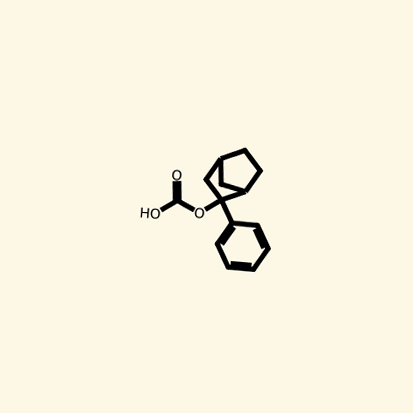 O=C(O)OC1(c2ccccc2)CC2CCC1C2